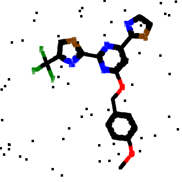 COc1ccc(COc2cc(-c3nccs3)nc(-c3nc(C(F)(F)F)cs3)n2)cc1